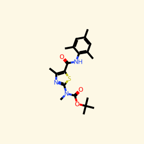 Cc1cc(C)c(NC(=O)c2sc(N(C)C(=O)OC(C)(C)C)nc2C)c(C)c1